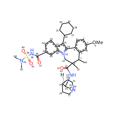 COc1ccc2c(c1)C(C)C(C)(C(=O)N[C@H]1CN3CCC1CC3)Cn1c-2c(C2CCCCC2)c2ccc(C(=O)NS(=O)(=O)N(C)C)cc21